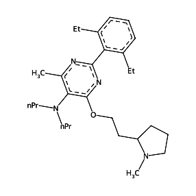 CCCN(CCC)c1c(C)nc(-c2c(CC)cccc2CC)nc1OCCC1CCCN1C